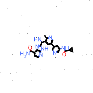 Cc1ncc(-c2cncc(NC(=O)C3CC3)c2)cc1C(=N)c1nc2c(C(N)=O)ccnc2[nH]1